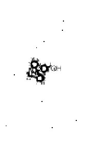 OCc1ccc(C(c2ccccc2)(c2ccccc2)n2cccn2)cc1